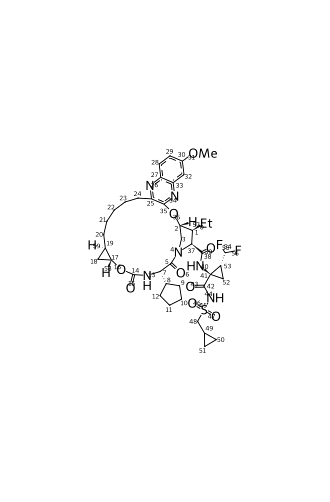 CC[C@@H]1[C@@H]2CN(C(=O)[C@H](C3CCCC3)NC(=O)O[C@@H]3C[C@H]3CCCCCc3nc4ccc(OC)cc4nc3O2)[C@@H]1C(=O)N[C@]1(C(=O)NS(=O)(=O)CC2CC2)C[C@H]1C(F)F